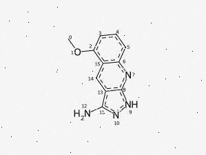 COc1cccc2nc3[nH]nc(N)c3cc12